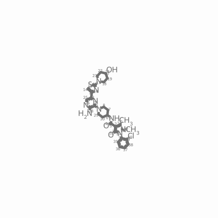 Cc1c(C(=O)NC2CCN(c3nc(-c4csc(N5CCC(O)CC5)n4)cnc3N)CC2)c(=O)n(-c2ccccc2Cl)n1C